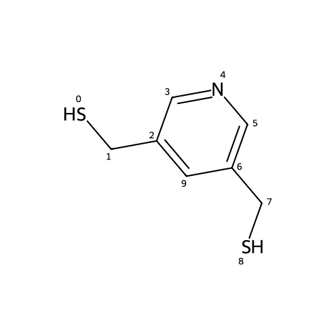 SCc1cncc(CS)c1